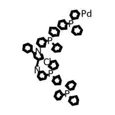 N#Cc1cc(-c2ccccc2)ncc1Cl.[Pd].c1ccc(P(c2ccccc2)c2ccccc2)cc1.c1ccc(P(c2ccccc2)c2ccccc2)cc1.c1ccc(P(c2ccccc2)c2ccccc2)cc1.c1ccc(P(c2ccccc2)c2ccccc2)cc1